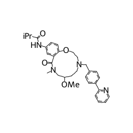 COC1CCN(Cc2ccc(-c3ccccn3)cc2)CCOc2ccc(NC(=O)C(C)C)cc2C(=O)N(C)C1